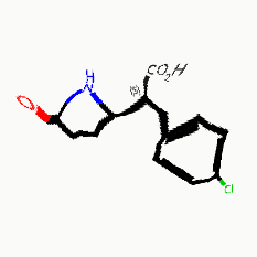 O=C1CCC([C@@H](C(=O)O)c2ccc(Cl)cc2)N1